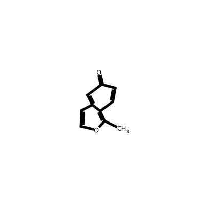 Cc1occc2cc(=O)ccc1-2